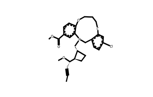 CC#C[C@H](OC)[C@@H]1CC[C@H]1CN1Cc2ccc(Cl)cc2CCCCOc2ccc(C(=O)OC)cc21